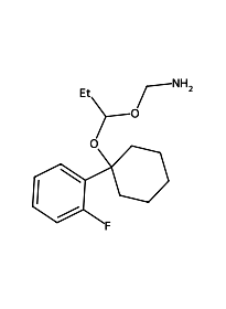 CCC(OCN)OC1(c2ccccc2F)CCCCC1